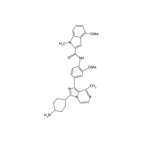 COc1cc(-c2nc(C3CCC(N)CC3)n3ccnc(C)c23)ccc1NC(=O)c1cc2c(OC)cccc2n1C